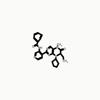 CCC1C(=O)N(C)c2cnc(-c3ccncc3NC(=O)c3ccccc3)nc2N1C1CCCC1